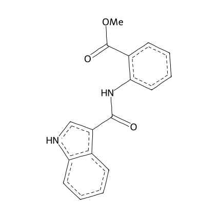 COC(=O)c1ccccc1NC(=O)c1c[nH]c2ccccc12